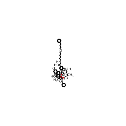 CN(CC[N+](C)(C)Cc1cc(C(O)CNCCCCCCOCCCCc2ccccc2)ccc1OP(=O)(O)O)C(=O)OCC(=O)[C@@]12O[C@H](C3CCCCC3)O[C@@H]1C[C@H]1[C@@H]3CCC4=CC(=O)C=C[C@]4(C)[C@H]3[C@@H](O)C[C@@]12C